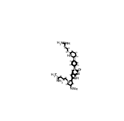 CN[C@@H]1CC(c2cc3cn(-c4ccc([C@@H]5CCC[C@@H](CCSC(=N)N)N5)cc4)c(=O)nc3[nH]2)N(CCC[C@@H](C)N)C1